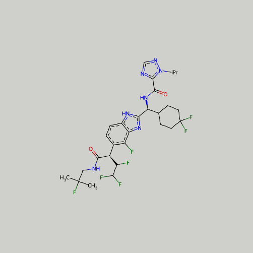 CC(C)n1ncnc1C(=O)N[C@H](c1nc2c(F)c([C@H](C(=O)NCC(C)(C)F)C(F)C(F)F)ccc2[nH]1)C1CCC(F)(F)CC1